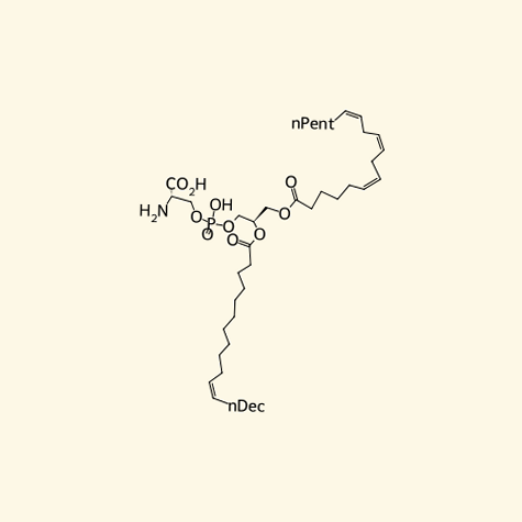 CCCCC/C=C\C/C=C\C/C=C\CCCCC(=O)OC[C@H](COP(=O)(O)OC[C@H](N)C(=O)O)OC(=O)CCCCCCCCC/C=C\CCCCCCCCCC